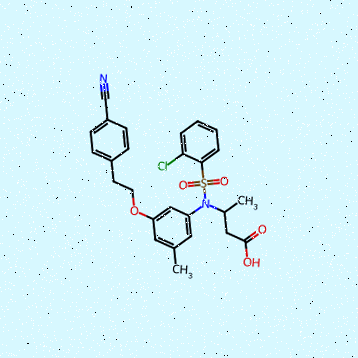 Cc1cc(OCCc2ccc(C#N)cc2)cc(N(C(C)CC(=O)O)S(=O)(=O)c2ccccc2Cl)c1